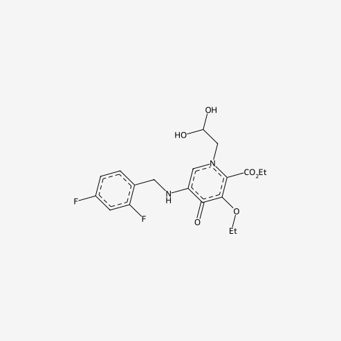 CCOC(=O)c1c(OCC)c(=O)c(NCc2ccc(F)cc2F)cn1CC(O)O